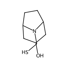 OC1CC2CCC(C1)N2CS